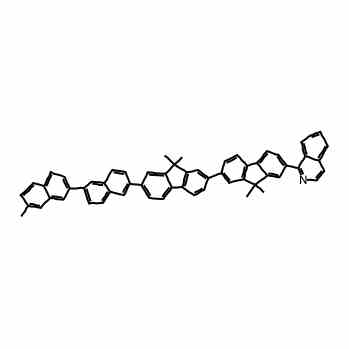 Cc1ccc2ccc(-c3ccc4cc(-c5ccc6c(c5)C(C)(C)c5cc(-c7ccc8c(c7)C(C)(C)c7cc(-c9nccc%10ccccc9%10)ccc7-8)ccc5-6)ccc4c3)cc2c1